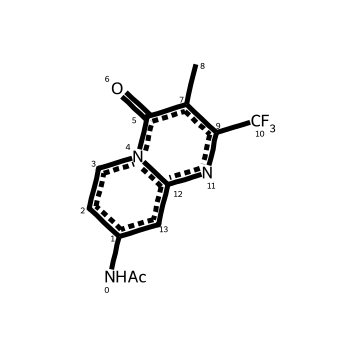 CC(=O)Nc1ccn2c(=O)c(C)c(C(F)(F)F)nc2c1